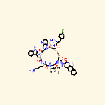 CC(C)(C)[C@@H]1NC(=O)[C@H](CCCCN)NC(=O)[C@@H](Cc2c[nH]c3ccccc23)NC(=O)[C@H](Cc2ccccn2)NC(=O)[C@H](NC(=O)[C@@H](N)Cc2ccc(F)cc2)CSSC[C@@H](C(=O)N[C@@H](Cc2ccc3ccccc3c2)C(N)=O)NC1=O